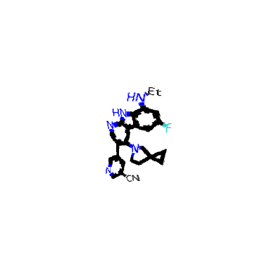 CCNc1cc(F)cc2c1[nH]c1ncc(-c3cncc(C#N)c3)c(N3CCC4(CC4)C3)c12